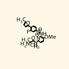 COc1ccc(NC(=O)C(C)(C)N)nc1NS(=O)(=O)c1ccc(-c2ccc(C)o2)c(F)c1